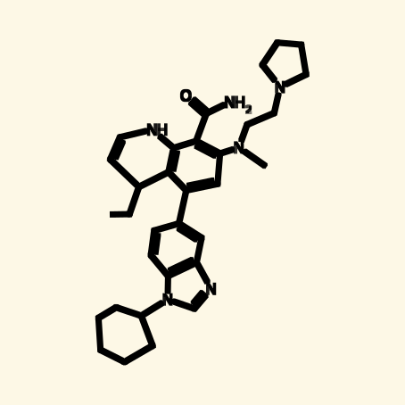 CCC1C=CNc2c(C(N)=O)c(N(C)CCN3CCCC3)cc(-c3ccc4c(c3)ncn4C3CCCCC3)c21